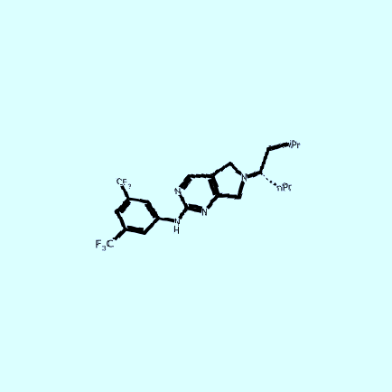 CCC[C@@H](CC(C)C)N1Cc2cnc(Nc3cc(C(F)(F)F)cc(C(F)(F)F)c3)nc2C1